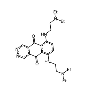 CCN(CC)CCNc1ccc(NCCN(CC)CC)c2c1C(=O)c1cnncc1C2=O